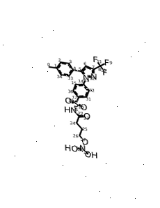 Cc1ccc(-c2cc(C(F)(F)F)nn2-c2ccc(S(=O)(=O)NC(=O)CCCON(O)O)cc2)cc1